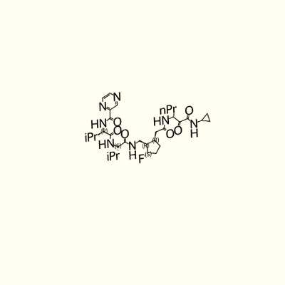 CCCC(NC(=O)C[C@H]1CC[C@H](F)[C@H]1CNC(=O)[C@@H](NC(=O)[C@H](NC(=O)c1cnccn1)C(C)C)C(C)C)C(=O)C(=O)NC1CC1